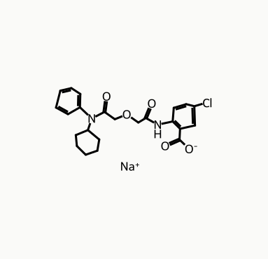 O=C(COCC(=O)N(c1ccccc1)C1CCCCC1)Nc1ccc(Cl)cc1C(=O)[O-].[Na+]